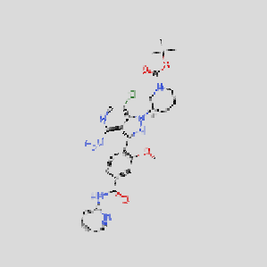 COc1cc(C(=O)Nc2ccccn2)ccc1-c1nn([C@@H]2CCCN(C(=O)OC(C)(C)C)C2)c2c(Cl)cnc(N)c12